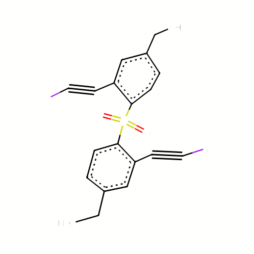 CCc1ccc(S(=O)(=O)c2ccc(CC)cc2C#CI)c(C#CI)c1